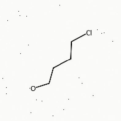 [O]CCCCCl